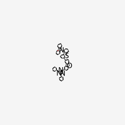 c1ccc(-c2nc(-c3ccccc3)nc(-c3ccc4oc5ccc(-c6cccc7c6sc6cccc(-n8c9ccccc9c9ccccc98)c67)cc5c4c3)n2)cc1